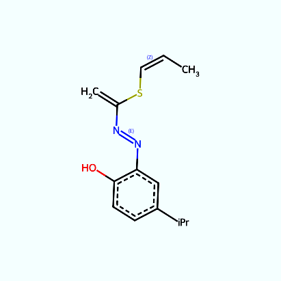 C=C(/N=N/c1cc(C(C)C)ccc1O)S/C=C\C